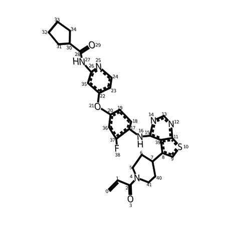 C=CC(=O)N1CCC(c2csc3ncnc(Nc4ccc(Oc5ccnc(NC(=O)C6CCCC6)c5)cc4F)c23)CC1